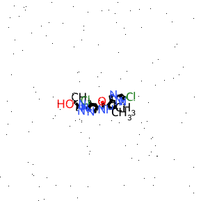 C[C@@H](O)c1cnn(-c2ncc(NC(=O)[C@H]3CC(C)(C)c4c3cnc3cc(Cl)nn43)cc2Cl)n1